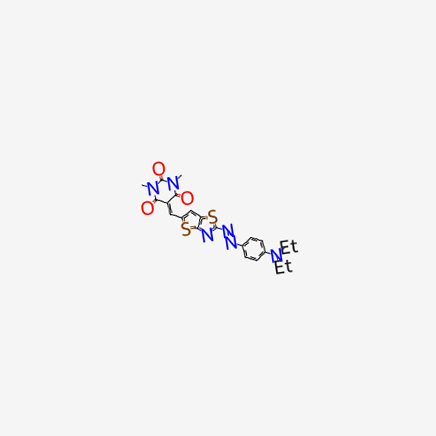 CCN(CC)c1ccc(/N=N/c2nc3sc(C=C4C(=O)N(C)C(=O)N(C)C4=O)cc3s2)cc1